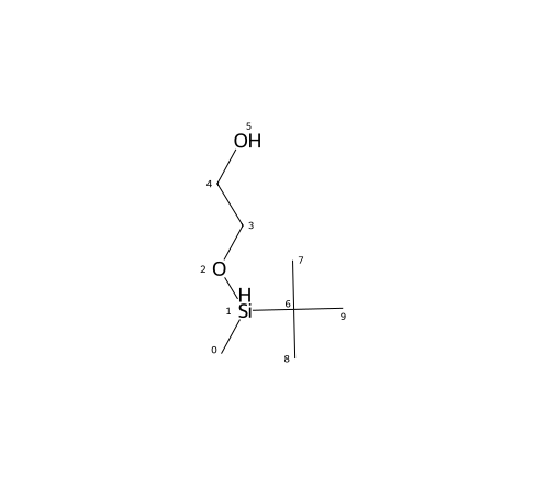 C[SiH](OCCO)C(C)(C)C